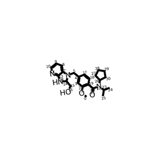 COc1cc(CN2c3cccnc3NC2CO)ccc1C(=O)N(C(C)C)C1CCCC1